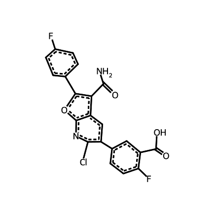 NC(=O)c1c(-c2ccc(F)cc2)oc2nc(Cl)c(-c3ccc(F)c(C(=O)O)c3)cc12